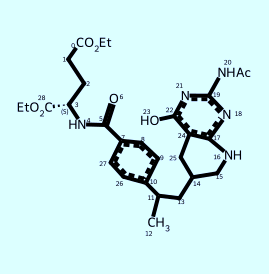 CCOC(=O)CC[C@H](NC(=O)c1ccc(C(C)CC2CNc3nc(NC(C)=O)nc(O)c3C2)cc1)C(=O)OCC